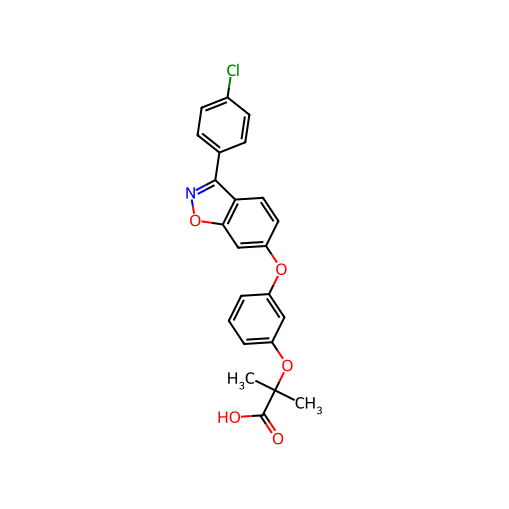 CC(C)(Oc1cccc(Oc2ccc3c(-c4ccc(Cl)cc4)noc3c2)c1)C(=O)O